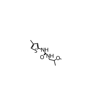 COC(C)CNC(=O)Nc1cc(C)cs1